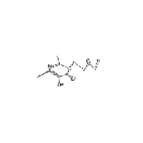 Cc1nc(C)n(CCOC=O)c(=O)c1O